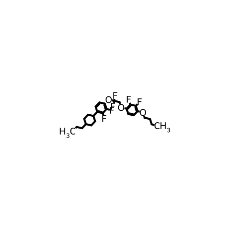 CCCCOc1ccc(OCC(F)(F)Oc2ccc(C3CCC(CCC)CC3)c(F)c2F)c(F)c1F